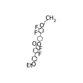 C=CCCOc1ccc(C2CCC(OC(=O)c3ccc(-c4ccc(OCC)cc4)c(F)c3F)CC2)c(F)c1F